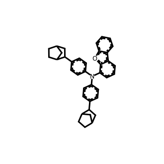 c1ccc2c(c1)oc1c(N(c3ccc(C4CC5CCC4C5)cc3)c3ccc(C4CC5CCC4C5)cc3)cccc12